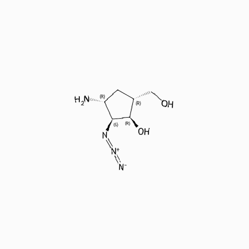 [N-]=[N+]=N[C@@H]1[C@H](O)[C@@H](CO)C[C@H]1N